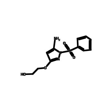 Nc1cc(OCCO)nn1S(=O)(=O)c1ccccc1